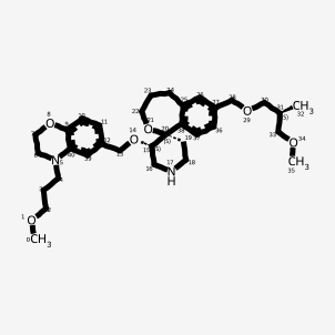 COCCCN1CCOc2ccc(CO[C@H]3CNCC[C@@]34OCCCc3cc(COC[C@@H](C)COC)ccc34)cc21